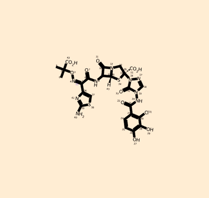 CC(C)(O/N=C(\C(=O)NC1C(=O)N2C[C@@](C(=O)O)(n3ncn(NC(=O)c4ccc(O)c(O)c4Cl)c3=O)S[C@H]12)c1csc(N)n1)C(=O)O